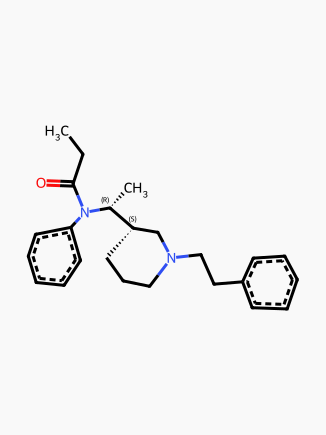 CCC(=O)N(c1ccccc1)[C@H](C)[C@H]1CCCN(CCc2ccccc2)C1